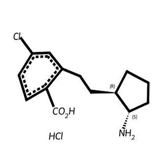 Cl.N[C@H]1CCC[C@@H]1CCc1cc(Cl)ccc1C(=O)O